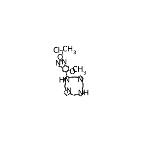 COc1cc2nc(OCC(C)Cl)ncc2cc1-c1cc2cc3nc(cc4ccc(cc5nc(cc1[nH]2)C=C5)[nH]4)C=C3